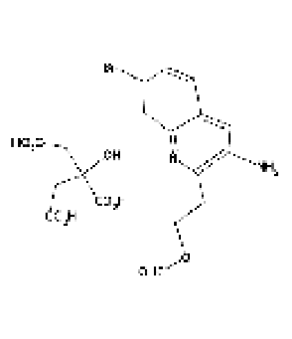 Nc1cc2ccc(Br)cc2nc1CCOC=O.O=C(O)CC(O)(CC(=O)O)C(=O)O